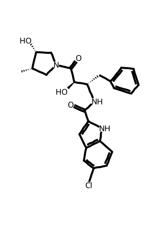 C[C@H]1CN(C(=O)[C@H](O)[C@H](Cc2ccccc2)NC(=O)c2cc3cc(Cl)ccc3[nH]2)C[C@H]1O